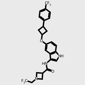 O=C(Nc1c[nH]c2ccc(OC3CC(c4ccc(C(F)(F)F)cc4)C3)cc12)C1CN(CC(F)(F)F)C1